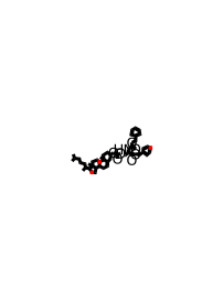 CC(C)CCCC(C)C1CCC2C3CC=C4CC(OC(=O)OCC(NC(=O)OCc5ccccc5)C(=O)OCc5ccccc5)CCC4(C)C3CCC12C